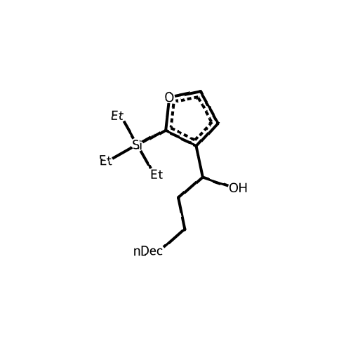 CCCCCCCCCCCCC(O)c1ccoc1[Si](CC)(CC)CC